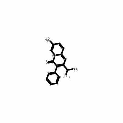 Cc1ccc2cc(C(C)N)c(-c3ccccc3)c(=O)n2c1